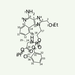 CCOCc1nc2c(N)nc3ccccc3c2n1C[C@@H](C)OP(=O)(N[C@@H](C)C(=O)OC(C)C)Oc1ccccc1Cl